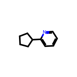 c1ccc([C]2CCCC2)nc1